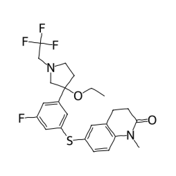 CCOC1(c2cc(F)cc(Sc3ccc4c(c3)CCC(=O)N4C)c2)CCN(CC(F)(F)F)C1